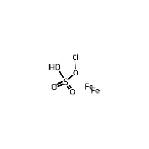 O=S(=O)(O)OCl.[Fe].[Fe]